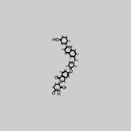 O=C1CCC(N2Cc3cc(O[C@H]4CCN(Cc5ccc6nc([C@H]7CCC[C@@H](O)C7)ccc6c5)C4)ccc3C2=O)C(=O)N1